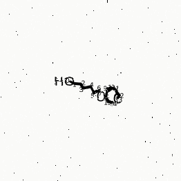 OCCCCCCOC1C#CCCCCC1